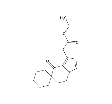 CCOC(=O)Cc1ccn2c1C(=O)C1(CCCCC1)CC2